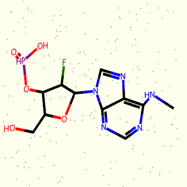 CNc1ncnc2c1ncn2C1OC(CO)C(O[PH](=O)O)C1F